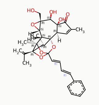 C=C(C)[C@@]12OC3(/C=C/C=C/c4ccccc4)O[C@@H]1[C@@H]1[C@@H]4O[C@]4(CO)[C@@H](O)[C@]4(O)C(=O)C(C)=C[C@H]4[C@@]1(O3)[C@H](C)[C@H]2C